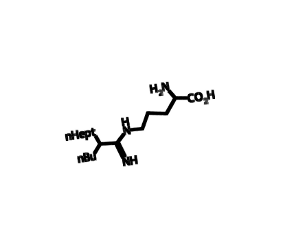 CCCCCCCC(CCCC)C(=N)NCCCC(N)C(=O)O